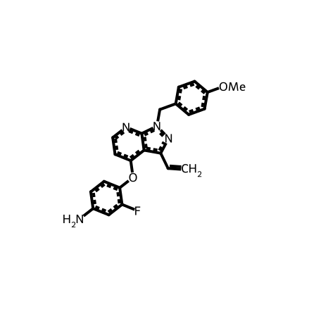 C=Cc1nn(Cc2ccc(OC)cc2)c2nccc(Oc3ccc(N)cc3F)c12